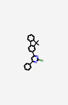 CC1(C)c2ccccc2-c2ccc(-c3cc(-c4ccccc4)nc(Br)n3)cc21